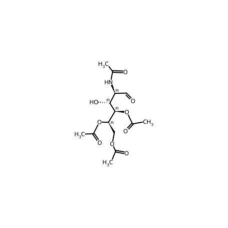 CC(=O)N[C@@H](C=O)[C@@H](O)[C@@H](OC(C)=O)[C@@H](COC(C)=O)OC(C)=O